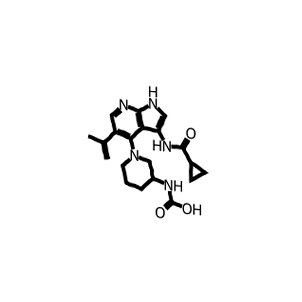 C=C(C)c1cnc2[nH]cc(NC(=O)C3CC3)c2c1N1CCCC(NC(=O)O)C1